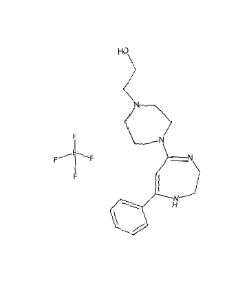 F[B-](F)(F)F.OCCN1CCN(C2=NCCNC(c3ccccc3)=C2)CC1